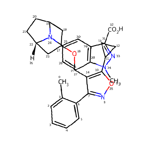 Cc1ccccc1-c1noc(C2CC2)c1COC1CC2CC[C@@H](C1)N2c1ccc2c(c1)c(C(=O)O)nn2C